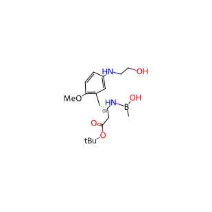 COc1ccc(NCCO)cc1C[C@@H](CC(=O)OC(C)(C)C)NB(C)O